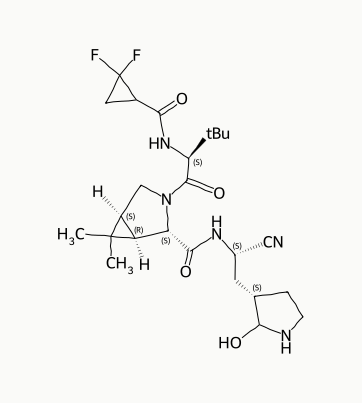 CC(C)(C)[C@H](NC(=O)C1CC1(F)F)C(=O)N1C[C@H]2[C@@H]([C@H]1C(=O)N[C@H](C#N)C[C@@H]1CCNC1O)C2(C)C